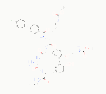 CC(=O)[C@H](C)NC(=O)[C@@H]1Cc2ccc(O)c(c2)-c2cc(ccc2OCCNC(=O)OC(C)(C)C)[C@H](N(C)C(=O)[C@H](CCCCNC(=O)OC(C)(C)C)NC(=O)c2ccc(-c3ccc(Cl)cc3)cc2)C(=O)N[C@@H](N)C(=O)N1